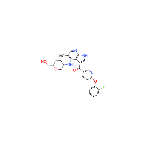 N#Cc1cnc2[nH]cc(C(=O)c3ccc(Oc4ccccc4F)nc3)c2c1N[C@@H]1CC[C@@H](CO)OC1